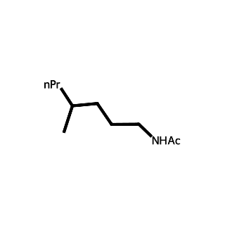 CCCC(C)CCCNC(C)=O